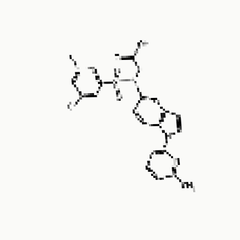 Cc1cccc(-n2ccc3cc(N(CC(=O)O)S(=O)(=O)c4cc(Cl)cc(Cl)c4)ccc32)n1